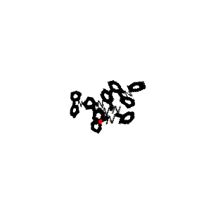 c1ccc(-c2nc(-c3ccccc3)nc(-c3cc(-c4cccc5c4c4ccccc4n5-c4ccccc4)ccc3-n3c4ccccc4c4cc(-n5c6ccccc6c6ccccc65)ccc43)n2)cc1